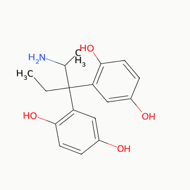 CCC(c1cc(O)ccc1O)(c1cc(O)ccc1O)C(C)N